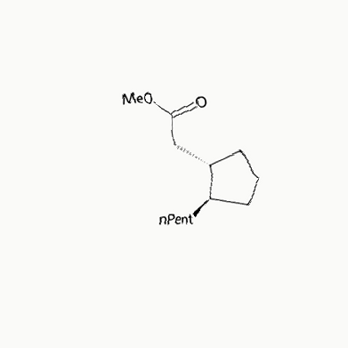 CCCCC[C@@H]1CCC[C@H]1CC(=O)OC